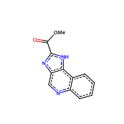 COC(=O)c1nc2cnc3ccccc3c2[nH]1